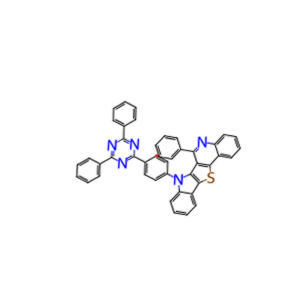 c1ccc(-c2nc(-c3ccccc3)nc(-c3ccc(-n4c5ccccc5c5sc6c7ccccc7nc(-c7ccccc7)c6c54)cc3)n2)cc1